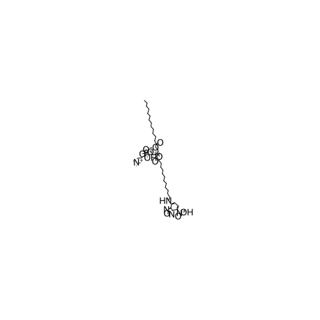 CCCCCCCCCCCCCC(=O)OC[C@H](CO[P+]([O-])(O)OCC[N+](C)(C)C)OC(=O)CCCCCCCCCCCNc1ccc([N+](=O)O)c2nonc12